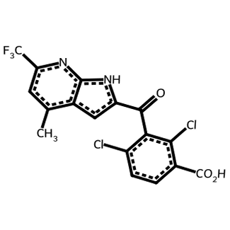 Cc1cc(C(F)(F)F)nc2[nH]c(C(=O)c3c(Cl)ccc(C(=O)O)c3Cl)cc12